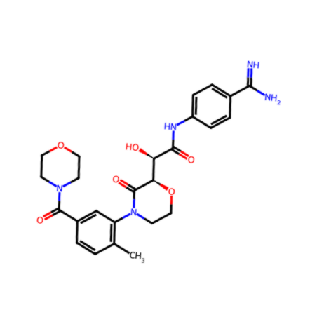 Cc1ccc(C(=O)N2CCOCC2)cc1N1CCO[C@H]([C@@H](O)C(=O)Nc2ccc(C(=N)N)cc2)C1=O